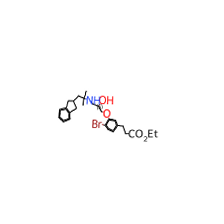 CCOC(=O)CCc1ccc(Br)c(OC[C@@H](O)CNC(C)(C)CC2Cc3ccccc3C2)c1